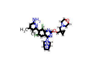 Cc1cc(N)nc(-c2c(F)cc3c(N4CC5CCC(C4)N5)nc(OCC4(CN5CCOCC5)CC4)nc3c2F)c1C(F)(F)F